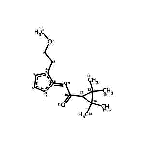 COCCn1ccsc1=NC(=O)C1C(C)(C)C1(C)C